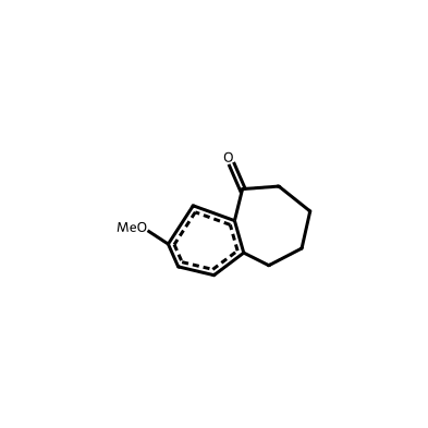 COc1ccc2c(c1)C(=O)CCCC2